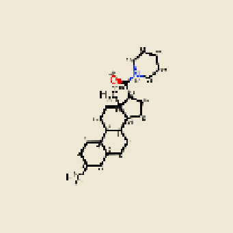 CC1CCC2C(CCC3C2CCC2(C)C3CC[C@@H]2C(=O)N2CCCCC2)C1